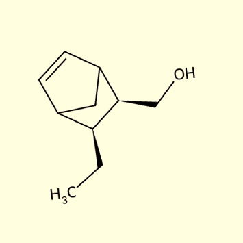 CC[C@H]1C2C=CC(C2)[C@H]1CO